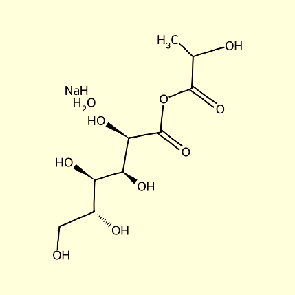 CC(O)C(=O)OC(=O)[C@H](O)[C@@H](O)[C@H](O)[C@H](O)CO.O.[NaH]